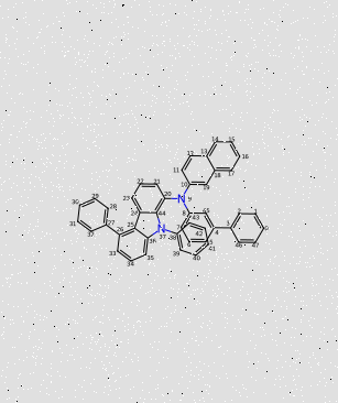 c1ccc(-c2cccc(N(c3ccc4ccccc4c3)c3cccc4c5c(-c6ccccc6)cccc5n(-c5ccccc5)c34)c2)cc1